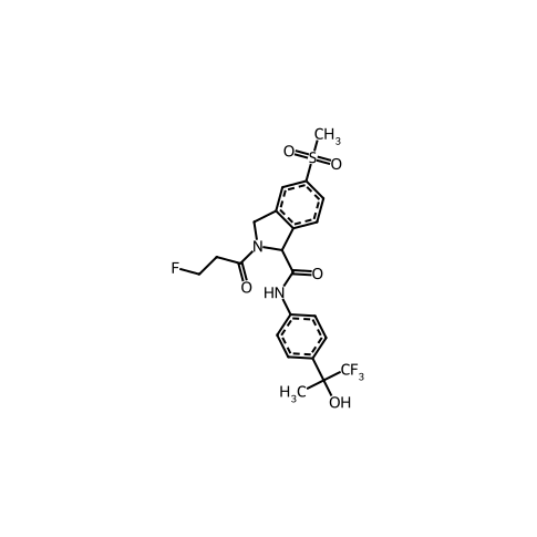 CC(O)(c1ccc(NC(=O)C2c3ccc(S(C)(=O)=O)cc3CN2C(=O)CCF)cc1)C(F)(F)F